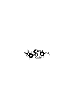 COc1cc(Nc2ncc(C)c(Nc3cc(F)c4oc(=O)[nH]c4c3)n2)cc(C)c1F